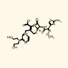 CO/N=C(\C(=O)NC1C(=O)N2C(C(=O)[O-])=C(C[n+]3ccnc(N(CCO)CCO)c3)CS[C@H]12)c1csc(N)n1